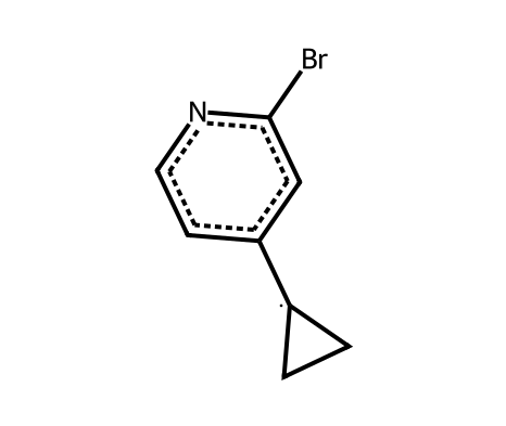 Brc1cc([C]2CC2)ccn1